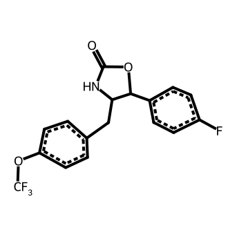 O=C1NC(Cc2ccc(OC(F)(F)F)cc2)C(c2ccc(F)cc2)O1